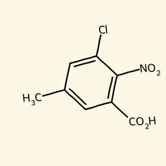 Cc1cc(Cl)c([N+](=O)[O-])c(C(=O)O)c1